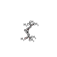 Cc1ccc(N(c2cc(C)cc(C)c2)c2ccc3cc4c(cc3c2)oc2c(-c3ccccc3)c3oc5cc6cc(N(c7ccc(C)cc7)c7cc(C)cc(C)c7)ccc6cc5c3cc24)cc1